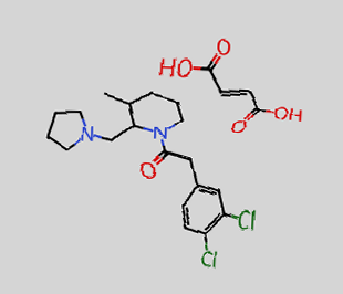 CC1CCCN(C(=O)Cc2ccc(Cl)c(Cl)c2)C1CN1CCCC1.O=C(O)C=CC(=O)O